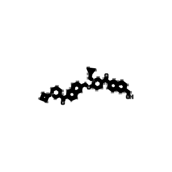 O=C(c1ccc2cc(COC3CCC(C(=O)c4ccc5cc(CO)ccc5c4)CN3CC3CC3)ccc2c1)C1CCCN(C2CCC2)C1